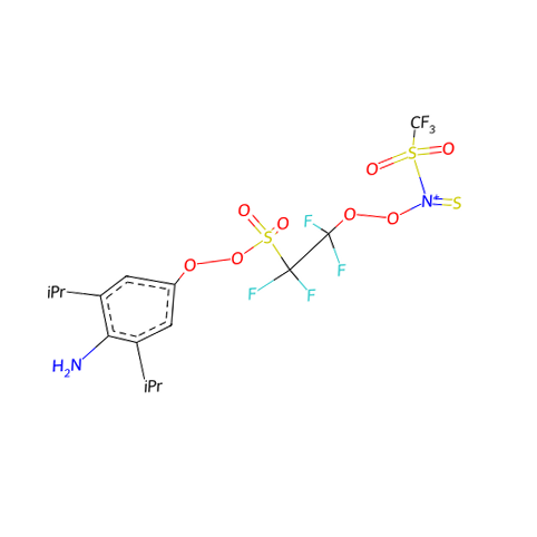 CC(C)c1cc(OOS(=O)(=O)C(F)(F)C(F)(F)OO[N+](=S)S(=O)(=O)C(F)(F)F)cc(C(C)C)c1N